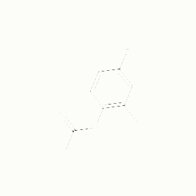 CC(=S)Oc1ccc(F)cc1C